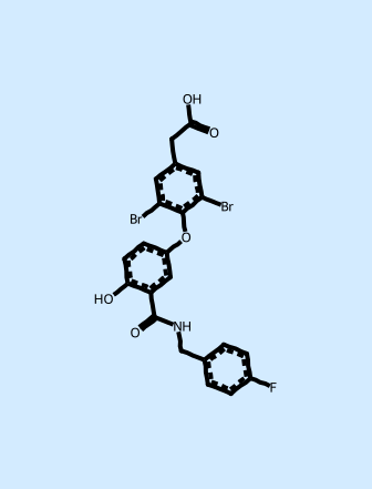 O=C(O)Cc1cc(Br)c(Oc2ccc(O)c(C(=O)NCc3ccc(F)cc3)c2)c(Br)c1